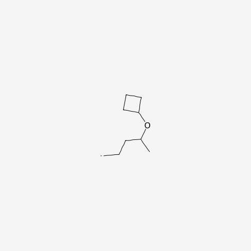 [CH2]CCC(C)OC1CCC1